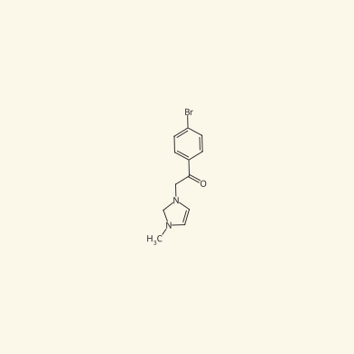 CN1C=CN(CC(=O)c2ccc(Br)cc2)C1